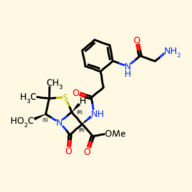 COC(=O)[C@]1(NC(=O)Cc2ccccc2NC(=O)CN)C(=O)N2[C@@H](C(=O)O)C(C)(C)S[C@@H]21